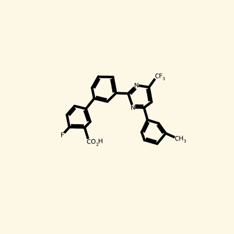 Cc1cccc(-c2cc(C(F)(F)F)nc(-c3cccc(-c4ccc(F)c(C(=O)O)c4)c3)n2)c1